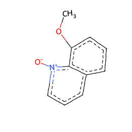 COc1cccc2ccc[n+]([O-])c12